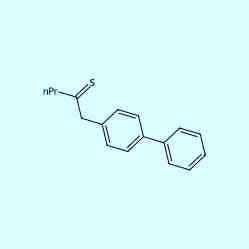 CCCC(=S)Cc1ccc(-c2ccccc2)cc1